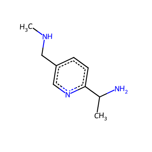 CNCc1ccc(C(C)N)nc1